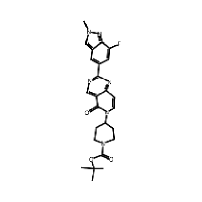 Cn1cc2cc(-c3ncc4c(=O)n(C5CCN(C(=O)OC(C)(C)C)CC5)ccc4n3)cc(F)c2n1